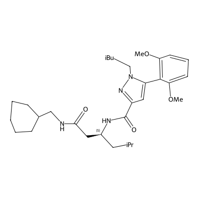 CCC(C)Cn1nc(C(=O)N[C@H](CC(=O)NCC2CCCCC2)CC(C)C)cc1-c1c(OC)cccc1OC